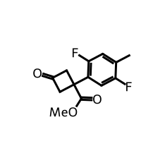 COC(=O)C1(c2cc(F)c(C)cc2F)CC(=O)C1